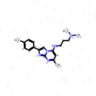 Cc1ccc(-c2cn3c(NCCCN(C)C)cc(C)nc3n2)cc1